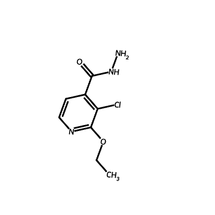 CCOc1nccc(C(=O)NN)c1Cl